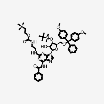 COc1ccc(C(OC[C@H]2O[C@@H](n3cnc4c(NC(=O)c5ccccc5)nc(NCCNC(=O)OCC[Si](C)(C)C)nc43)[C@H](O)[C@@H]2O[Si](C)(C)C(C)(C)C)(c2ccccc2)c2ccc(OC)cc2)cc1